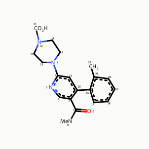 CNC(=O)c1cnc(N2CCN(C(=O)O)CC2)cc1-c1ccccc1C